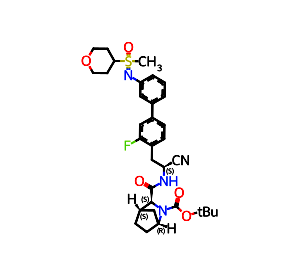 CC(C)(C)OC(=O)N1[C@@H]2CC[C@@H](C2)[C@H]1C(=O)N[C@H](C#N)Cc1ccc(-c2cccc(N=S(C)(=O)C3CCOCC3)c2)cc1F